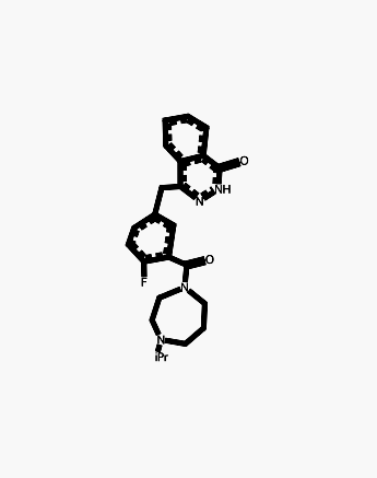 CC(C)N1CCCN(C(=O)c2cc(Cc3n[nH]c(=O)c4ccccc34)ccc2F)CC1